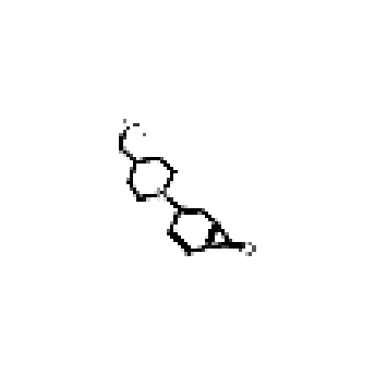 NCC1CCN(c2ccc3c(=O)c3c2)CC1